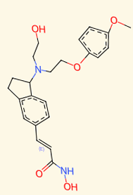 COc1ccc(OCCN(CCO)C2CCc3cc(/C=C/C(=O)NO)ccc32)cc1